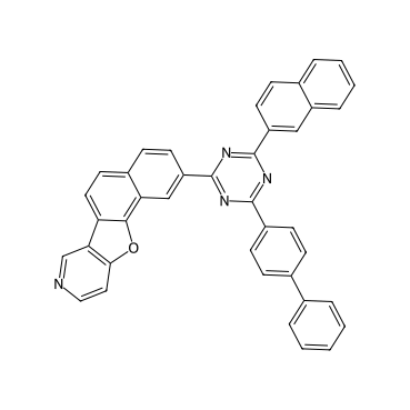 c1ccc(-c2ccc(-c3nc(-c4ccc5ccccc5c4)nc(-c4ccc5ccc6c7cnccc7oc6c5c4)n3)cc2)cc1